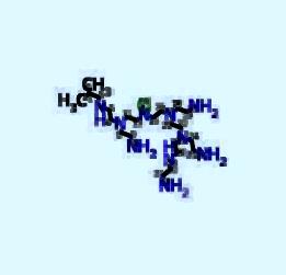 CC(C)CNCCN(CCN)CCN(Cl)CCN(CCN)CCN(CCN)CCNCCN